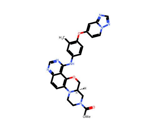 COC(=O)N1CCN2c3ccc4ncnc(Nc5ccc(Oc6ccn7ncnc7c6)c(C)c5)c4c3OC[C@H]2C1